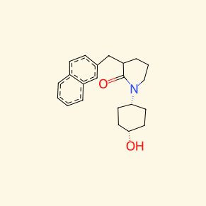 O=C1C(Cc2ccc3ccccc3c2)CCCN1[C@H]1CC[C@@H](O)CC1